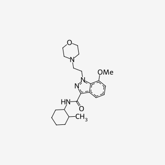 COc1cccc2c(C(=O)NC3CCCCC3C)nn(CCN3CCOCC3)c12